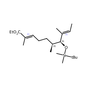 C/C=C(\C)[C@@H](O[Si](C)(C)C(C)(C)C)[C@@H](C)CC/C=C(\C)C(=O)OCC